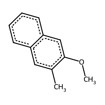 COc1cc2ccccc2cc1C